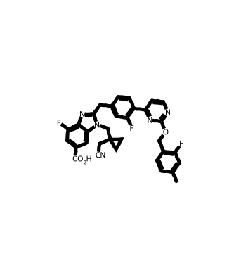 Cc1ccc(COc2nccc(-c3ccc(Cc4nc5c(F)cc(C(=O)O)cc5n4CC4(CC#N)CC4)cc3F)n2)c(F)c1